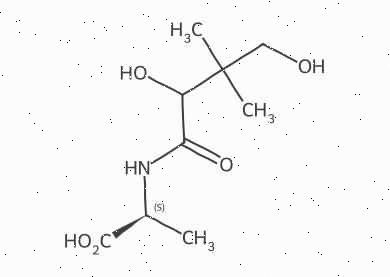 C[C@H](NC(=O)C(O)C(C)(C)CO)C(=O)O